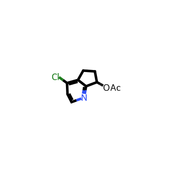 CC(=O)OC1CCc2c(Cl)ccnc21